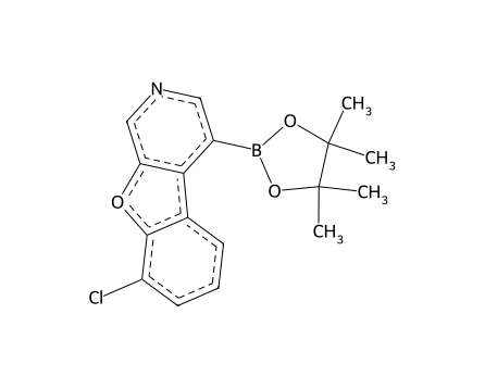 CC1(C)OB(c2cncc3oc4c(Cl)cccc4c23)OC1(C)C